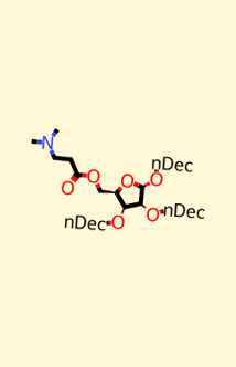 CCCCCCCCCCO[C@@H]1O[C@H](COC(=O)CCN(C)C)[C@@H](OCCCCCCCCCC)[C@H]1OCCCCCCCCCC